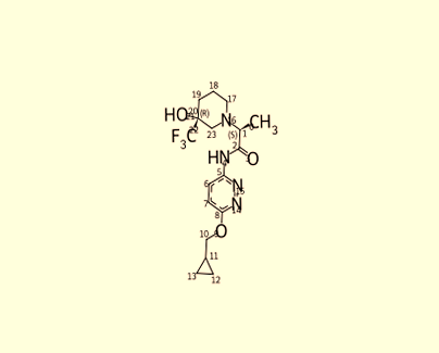 C[C@@H](C(=O)Nc1ccc(OCC2CC2)nn1)N1CCC[C@](O)(C(F)(F)F)C1